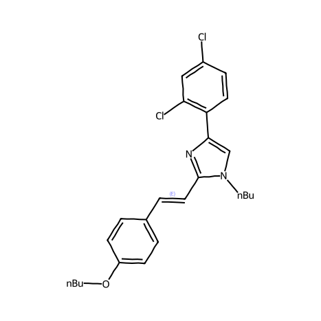 CCCCOc1ccc(/C=C/c2nc(-c3ccc(Cl)cc3Cl)cn2CCCC)cc1